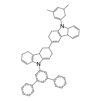 CC1=CC(C)CC(N2C3=C(C=C(C4CC=C5C(C4)C4=C(C=CCC4)N5c4cc(-c5ccccc5)cc(-c5ccccc5)c4)CC3)C3C=CC=CC32)=C1